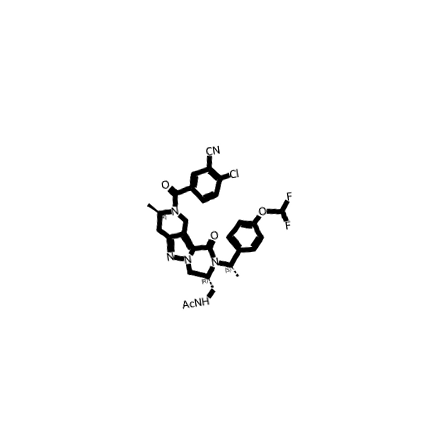 CC(=O)NC[C@@H]1Cn2nc3c(c2C(=O)N1[C@@H](C)c1ccc(OC(F)F)cc1)CN(C(=O)c1ccc(Cl)c(C#N)c1)[C@H](C)C3